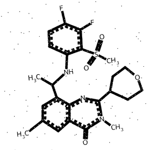 Cc1cc(C(C)Nc2ccc(F)c(F)c2S(C)(=O)=O)c2nc(C3CCOCC3)n(C)c(=O)c2c1